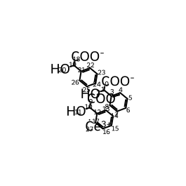 O=C([O-])C(O)c1ccccc1.O=C([O-])C(O)c1ccccc1.O=C([O-])C(O)c1ccccc1.[Ce+3]